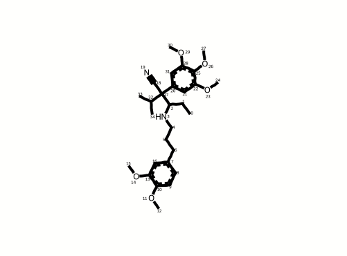 CCC(NCCCc1ccc(OC)c(OC)c1)C(C#N)(c1cc(OC)c(OC)c(OC)c1)C(C)C